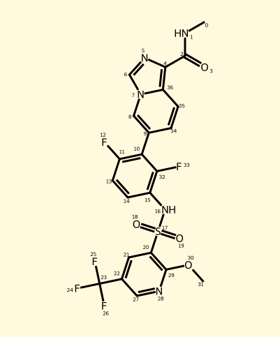 CNC(=O)c1ncn2cc(-c3c(F)ccc(NS(=O)(=O)c4cc(C(F)(F)F)cnc4OC)c3F)ccc12